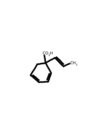 CC=CC1(C(=O)O)C=CC=CC1